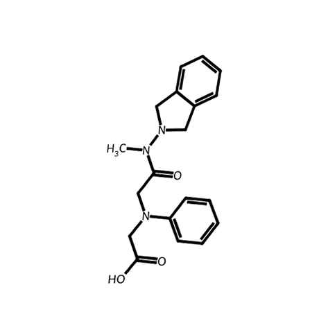 CN(C(=O)CN(CC(=O)O)c1ccccc1)N1Cc2ccccc2C1